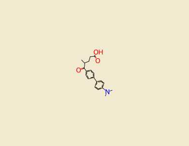 CC(CCC(=O)O)C(=O)c1ccc(-c2ccc(N(C)C)cc2)cc1